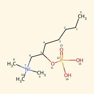 CCCCCC(C[N+](C)(C)C)OP(=O)(O)O